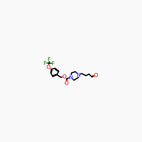 O=CCCCN1CCN(C(=O)OCc2ccc(OC(F)(F)F)cc2)CC1